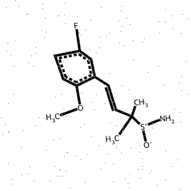 COc1ccc(F)cc1C=CC(C)(C)[S+](N)[O-]